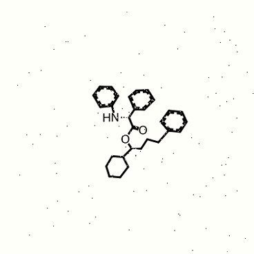 O=C(O[C@@H](CCCc1ccccc1)C1CCCCC1)[C@H](Nc1ccccc1)c1ccccc1